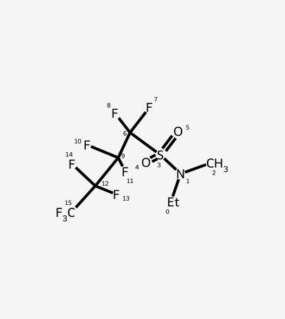 CCN(C)S(=O)(=O)C(F)(F)C(F)(F)C(F)(F)C(F)(F)F